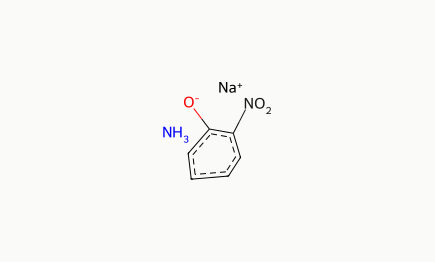 N.O=[N+]([O-])c1ccccc1[O-].[Na+]